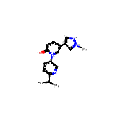 CC(C)c1ccc(-n2cc(-c3cnn(C)c3)ccc2=O)cn1